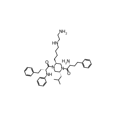 CC(C)C[C@@H]1CN(C(=O)[C@@H](CCc2ccccc2)Nc2ccccc2)[C@@H](CCCCNCCN)CN1C(=O)[C@H](N)CCc1ccccc1